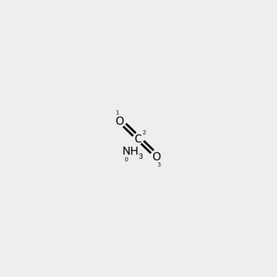 N.O=C=O